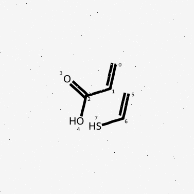 C=CC(=O)O.C=CS